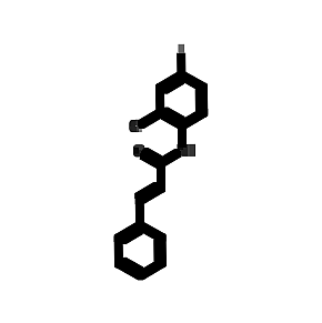 O=C(/C=C/c1ccccc1)Nc1ccc(I)cc1Cl